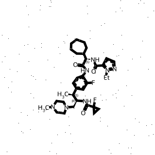 CCn1nccc1C(=O)N[C@H](C(=O)Nc1ccc([C@H](C)[C@H](CN2CCN(C)CC2)NC(=O)C2(F)CC2)cc1F)C1CCCCCC1